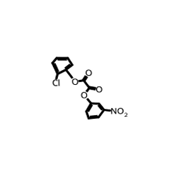 O=C(Oc1cccc([N+](=O)[O-])c1)C(=O)Oc1ccccc1Cl